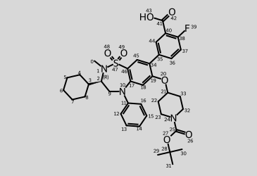 CN1[C@H](C2CCCCC2)CN(c2ccccc2)c2cc(OC3CCN(C(=O)OC(C)(C)C)CC3)c(-c3ccc(F)c(C(=O)O)c3)cc2S1(=O)=O